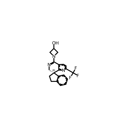 OC1CN(C2=NC[C@]3(CCc4ccccc43)c3nc(C(F)(F)F)ccc32)C1